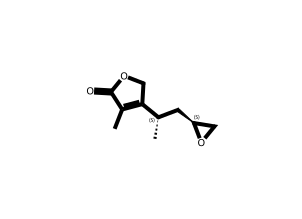 CC1=C([C@@H](C)C[C@H]2CO2)COC1=O